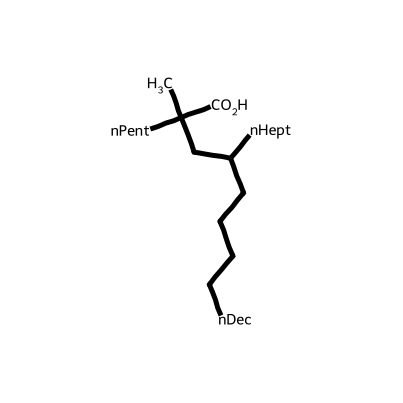 CCCCCCCCCCCCCCC(CCCCCCC)CC(C)(CCCCC)C(=O)O